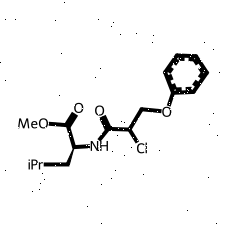 COC(=O)[C@H](CC(C)C)NC(=O)C(Cl)COc1ccccc1